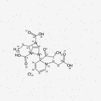 CCC(=O)C1(N2C3=C[N+]2(C(=O)O)C(CC)N3C(=O)O)C=CC=CN1CCC(=O)O.[Cl-]